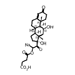 C[C@]12CCC(=O)C=C1CC[C@@H]1[C@@H]2[C@@H](O)C[C@@]2(C)[C@H]1CC[C@]2(O)C(=O)[CH]([Na])OC(=O)CCC(=O)O